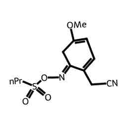 CCCS(=O)(=O)ON=C1CC(OC)=CC=C1CC#N